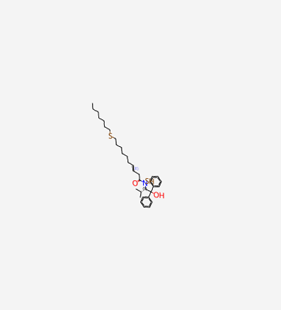 CCCCCCCSCCCCCC/C=C/CC(=O)N(S)[C@@H](C(C)C)C(O)(c1ccccc1)c1ccccc1